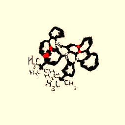 CC(C)(C)c1ccc2c(c1)B1C3=C(CCC=C3N2c2ccccc2-c2ccccc2)N(c2ccccc2C2C=CC=CC2)c2ccc(C(C)(C)C)cc21